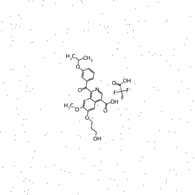 COc1cc2c(C(=O)c3cccc(OC(C)C)c3)ncc(C(=O)O)c2cc1OCCCO.O=C(O)C(F)(F)F